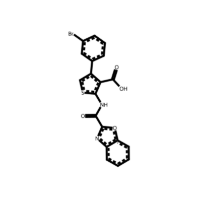 O=C(Nc1scc(-c2cccc(Br)c2)c1C(=O)O)c1nc2ccccc2o1